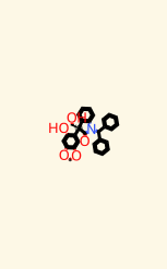 O=C1N(C(c2ccccc2)c2ccccc2)c2ccccc2[C@@]1(CO)c1cc2c(cc1O)OCO2